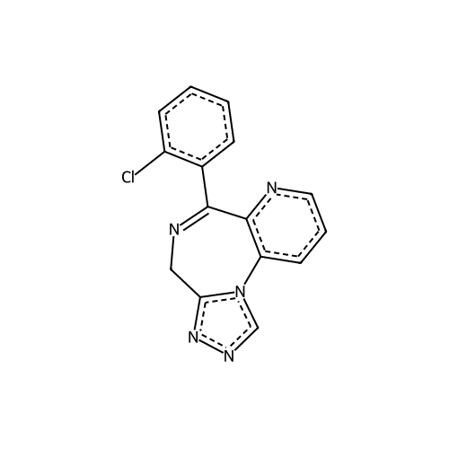 Clc1ccccc1C1=NCc2nncn2-c2cccnc21